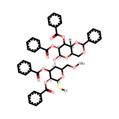 CCCCOCC1O[C@@H](SCC)[C@@H](OC(=O)c2ccccc2)C(OC(=O)c2ccccc2)[C@@H]1O[C@@H]1OC2COC(c3ccccc3)O[C@H]2C(OC(=O)c2ccccc2)[C@@H]1OC(=O)c1ccccc1